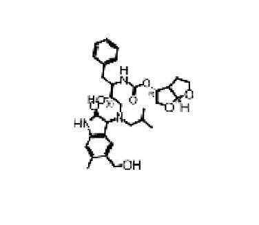 Cc1cc2c(cc1CO)C(N(CC(C)C)C[C@@H](O)C(Cc1ccccc1)NC(=O)O[C@H]1CO[C@H]3OCCC31)C(=O)N2